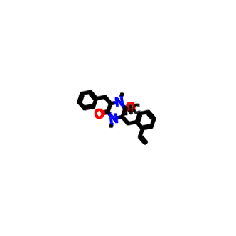 C=Cc1cccc(C#N)c1CC1C(=O)N(C)C(Cc2ccccc2)C(=O)N1C